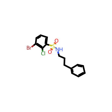 O=S(=O)(NCCCc1ccccc1)c1cccc(Br)c1Cl